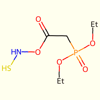 CCOP(=O)(CC(=O)ONS)OCC